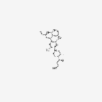 C=Cc1cc(-c2cc(C#N)c(N3CCN(C(=O)CCO)C(C)C3)nc2C2CC2)c2cccnc2n1